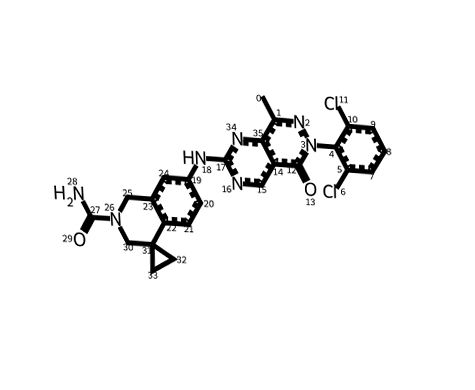 Cc1nn(-c2c(Cl)cccc2Cl)c(=O)c2cnc(Nc3ccc4c(c3)CN(C(N)=O)CC43CC3)nc12